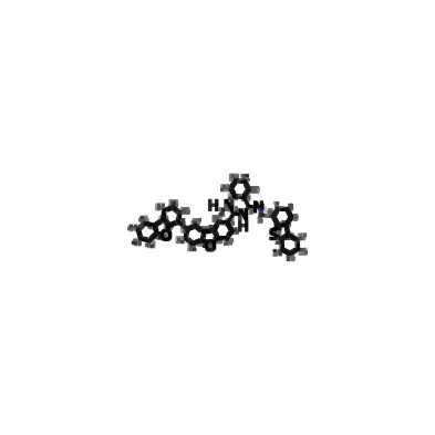 NC(NC(/N=C/c1cccc2c1sc1ccccc12)c1ccccc1)c1ccc2oc3ccc(-c4cccc5c4oc4ccccc45)cc3c2c1